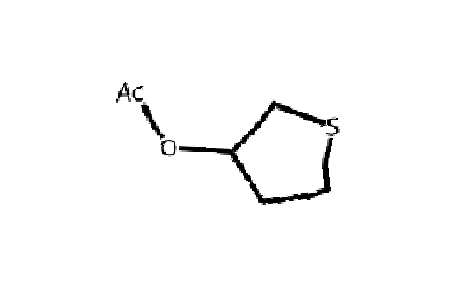 CC(=O)OC1CCSC1